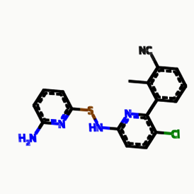 Cc1c(C#N)cccc1-c1nc(NSc2cccc(N)n2)ccc1Cl